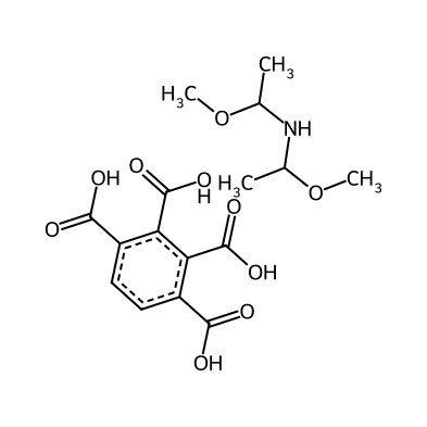 COC(C)NC(C)OC.O=C(O)c1ccc(C(=O)O)c(C(=O)O)c1C(=O)O